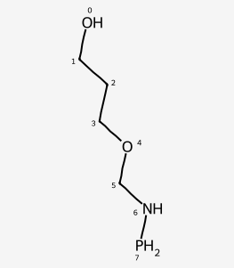 OCCCOCNP